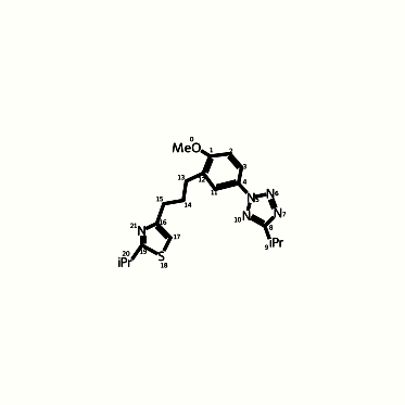 COc1ccc(-n2nnc(C(C)C)n2)cc1CCCc1csc(C(C)C)n1